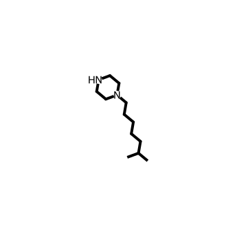 CC(C)CCCCCN1CCNCC1